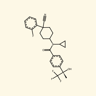 C[C@](O)(c1ccc(C(=O)N(C2CC2)C2CCC(C#N)(c3ccccc3F)CC2)cc1)C(F)(F)F